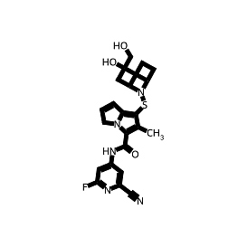 Cc1c(SN2C3CCC34C2CC4(O)CO)c2n(c1C(=O)Nc1cc(F)nc(C#N)c1)CC=C2